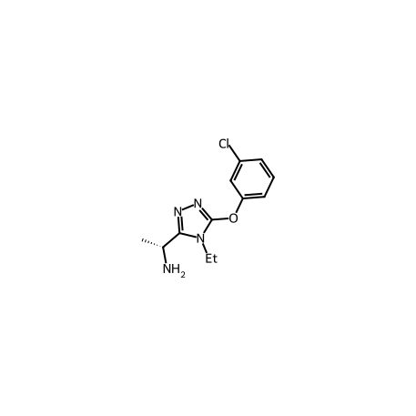 CCn1c(Oc2cccc(Cl)c2)nnc1[C@@H](C)N